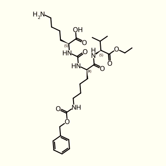 CCOC(=O)[C@@H](NC(=O)[C@@H](CCCCNC(=O)OCc1ccccc1)NC(=O)N[C@@H](CCCCN)C(=O)O)C(C)C